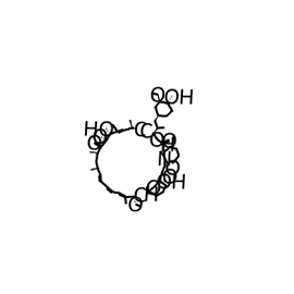 CO[C@H]1C[C@@H]2CC[C@@H](C)[C@@](O)(O2)C(=O)C(=O)N2CCCC[C@H]2C(=O)O[C@H](C(C)C[C@@H]2CC[C@@H](O)[C@H](OC)C2)CC[C@H](C)/C=C(\C)[C@@H](O)[C@@H](OC)C(=O)[C@H](C)C[C@H](C)/C=C/C=C/C=C/1C